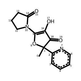 CC1(c2ccccn2)OC(N2CCCC2=O)=C(O)C1=O